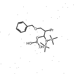 CC(C)C(COCc1ccccc1)C(OB(O)O)N([Si](C)(C)C)[Si](C)(C)C